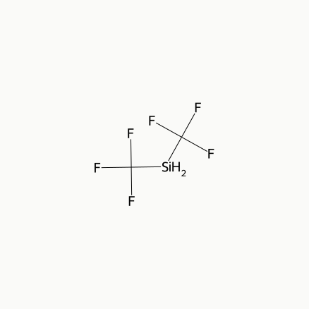 FC(F)(F)[SiH2]C(F)(F)F